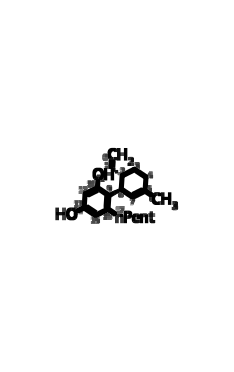 C=C[C@@H]1CCC(C)=C[C@H]1c1c(O)cc(O)cc1CCCCC